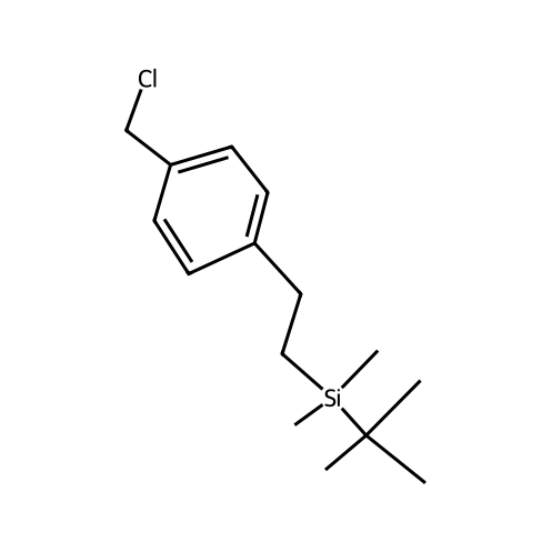 CC(C)(C)[Si](C)(C)CCc1ccc(CCl)cc1